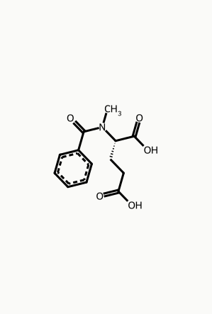 CN(C(=O)c1ccccc1)[C@@H](CCC(=O)O)C(=O)O